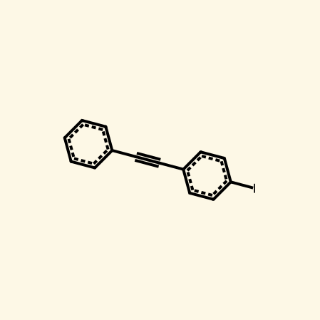 Ic1ccc(C#Cc2ccccc2)cc1